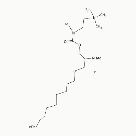 CCCCCCCCCCCCCCCCCCOCC(COC(=O)N(CC[N+](C)(C)C)C(C)=O)NC(C)=O.[I-]